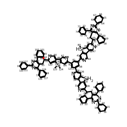 CC(Cc1c(-c2ccccc2)nc(-c2ccccc2)nc1-c1ccccc1)c1cc2c(cn1)-c1cnc(-c3cc(-c4cc5c(cn4)-c4cnc(C(C)Cc6c(-c7ccccc7)nc(-c7ccccc7)nc6-c6ccccc6)cc4[SiH]5C)cc(-c4cc5c(cn4)-c4cnc(C(C)Cc6c(-c7ccccc7)nc(-c7ccccc7)nc6-c6ccccc6)cc4[Si]5(C)C)c3)cc1[SiH2]2